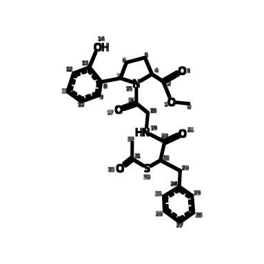 COC(=O)C1CCC(c2ccccc2O)N1C(=O)CNC(=O)C(Cc1ccccc1)SC(C)=O